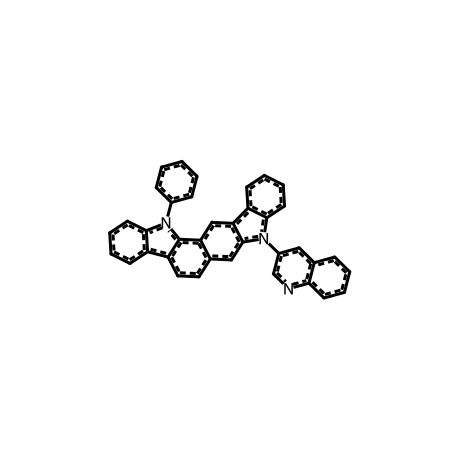 c1ccc(-n2c3ccccc3c3ccc4cc5c(cc4c32)c2ccccc2n5-c2cnc3ccccc3c2)cc1